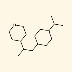 CC(CC1CCN(C(C)C)CC1)C1CCOCC1